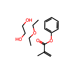 C=C(C)C(=O)Oc1ccccc1.CCOCC.OCCO